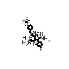 Cc1nn(Cc2cccc(OC(F)(F)F)c2)c(C)c1-c1c(C(N)=O)nc2cc(F)ccc2c1C(N)=O